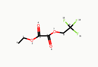 CCOC(=O)C(=O)OCC(F)(F)F